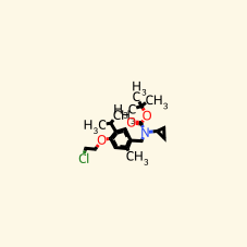 Cc1cc(OCCCl)c(C(C)C)cc1CN(C(=O)OC(C)(C)C)C1CC1